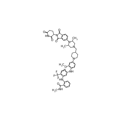 CNC(=O)c1ccccc1Nc1cc(Nc2ccc(N3CCC(CN4CC(C)N(c5ccc6c(c5)C(=O)N(C5CCC(=O)NC5=O)C6=O)C(C)C4)CC3)cc2OC)ncc1C(F)(F)F